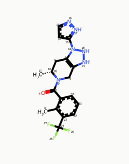 Cc1c(C(=O)N2CC3=C(C[C@H]2C)N(c2ccn[nH]2)NN3)cccc1C(F)(F)F